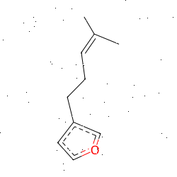 CC(C)=CCCc1ccoc1